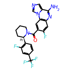 Nc1nc2cc(F)c(C(=O)N3CCCC[C@@H]3c3ccc(C(F)(F)F)cc3F)cc2n2cncc12